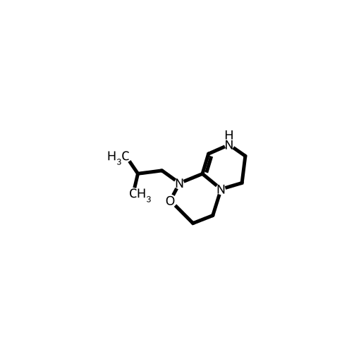 CC(C)CN1OCCN2CCNC=C21